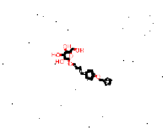 OCC1OC(OCCCCc2ccc(OCC3CCCC3)cc2)C(O)C(O)C1O